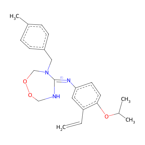 C=Cc1cc(/N=C2\NCOOCN2Cc2ccc(C)cc2)ccc1OC(C)C